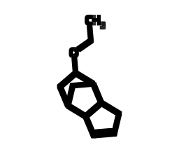 CCOC1CC2CC1C1CC=CC21